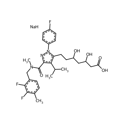 Cc1ccc(CN(C)C(=O)c2nn(-c3ccc(F)cc3)c(CCC(O)CC(O)CC(=O)O)c2C(C)C)c(F)c1F.[NaH]